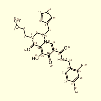 CCCOCCN1CN(Cc2ccsc2)n2cc(C(=O)NCc3ccc(F)cc3F)c(=O)c(O)c2C1=O